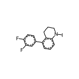 Fc1ccc(-c2cccc3c2CCCN3I)cc1F